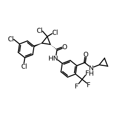 O=C(NC1CC1)c1cc(NC(=O)[C@@H]2[C@@H](c3cc(Cl)cc(Cl)c3)C2(Cl)Cl)ccc1C(F)(F)F